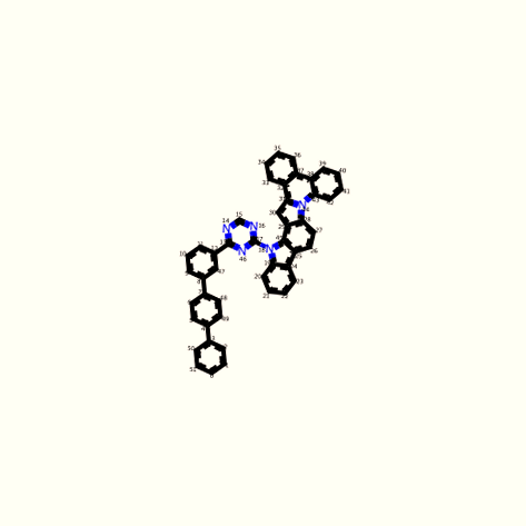 c1ccc(-c2ccc(-c3cccc(-c4ncnc(-n5c6ccccc6c6ccc7c(cc8c9ccccc9c9ccccc9n87)c65)n4)c3)cc2)cc1